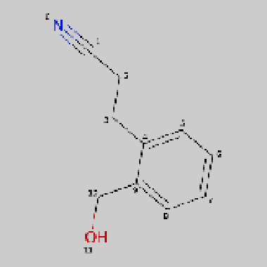 N#CCCc1ccccc1CO